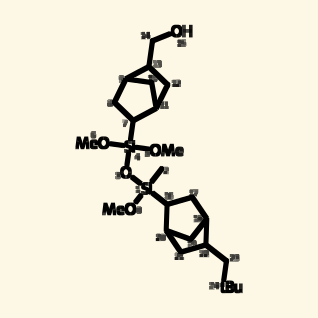 CO[Si](C)(O[Si](OC)(OC)C1CC2CC1CC2CO)C1CC2CC1CC2CC(C)(C)C